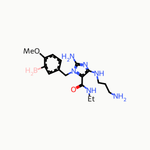 Bc1cc(Cn2c(N)nc(NCCCN)c2C(=O)NCC)ccc1OC